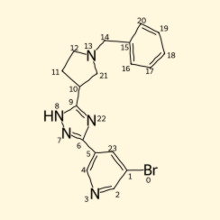 Brc1cncc(-c2n[nH]c(C3CCN(Cc4ccccc4)C3)n2)c1